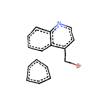 BrCc1ccnc2ccccc12.c1ccccc1